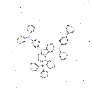 c1ccc(-c2ccc(N(c3ccccc3)c3ccc4c(c3)c3cc(C5(c6ccccc6)c6ccccc6-c6ccccc65)ccc3n4-c3ccc(N(c4ccccc4)c4ccccc4)cc3)cc2)cc1